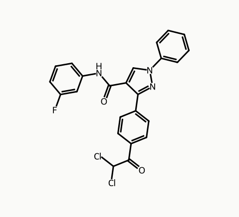 O=C(Nc1cccc(F)c1)c1cn(-c2ccccc2)nc1-c1ccc(C(=O)C(Cl)Cl)cc1